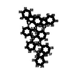 c1ccc2c(c1)B1c3ccccc3N(c3cccc4c3sc3ccccc34)c3cccc(c31)N2c1c2oc3ccccc3c2cc2c1oc1ccccc12